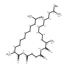 CCCCC(C)CCCCCCCCC(C)C(=O)OC(=O)CCC(=O)OC(=O)C(C)CCCCCCCCC(C)CCCC